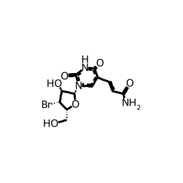 NC(=O)C=Cc1cn([C@@H]2O[C@H](CO)[C@H](Br)[C@H]2O)c(=O)[nH]c1=O